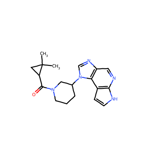 CC1(C)CC1C(=O)N1CCCC(n2cnc3cnc4[nH]ccc4c32)C1